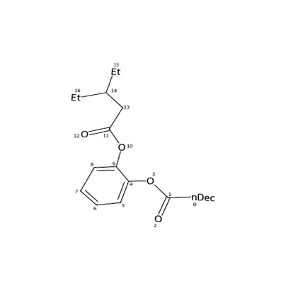 CCCCCCCCCCC(=O)Oc1ccccc1OC(=O)CC(CC)CC